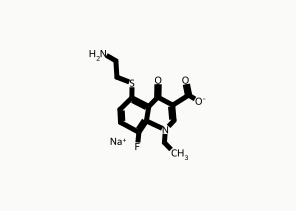 CCn1cc(C(=O)[O-])c(=O)c2c(SCCN)ccc(F)c21.[Na+]